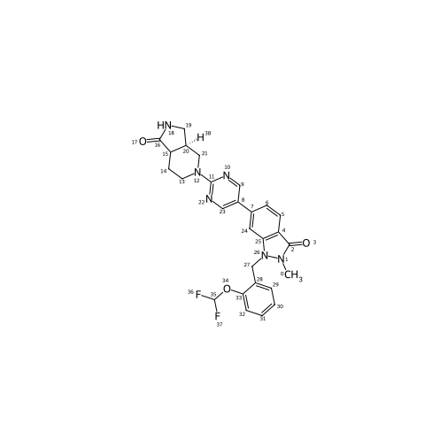 Cn1c(=O)c2ccc(-c3cnc(N4CCC5C(=O)NC[C@H]5C4)nc3)cc2n1Cc1ccccc1OC(F)F